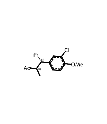 COc1ccc([C@@H](C(C)C)[C@@H](C)C(C)=O)cc1Cl